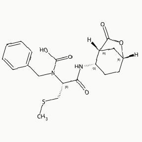 CSC[C@@H](C(=O)N[C@H]1CC[C@@H]2C[C@H]1C(=O)O2)N(Cc1ccccc1)C(=O)O